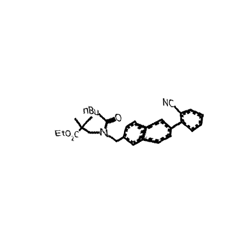 CCCCC(=O)N(Cc1ccc2cc(-c3ccccc3C#N)ccc2c1)CC(C)(C)C(=O)OCC